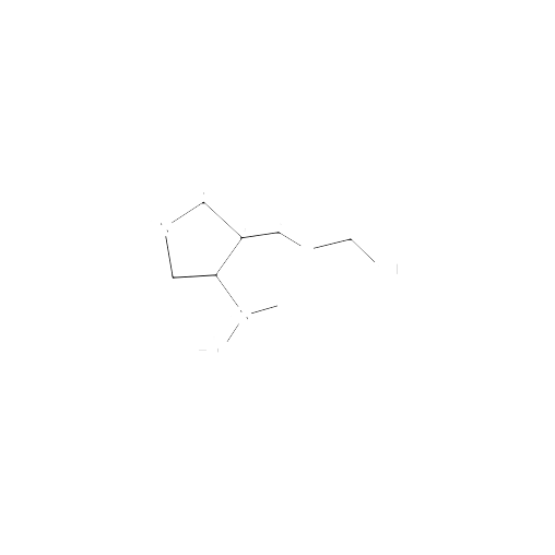 CCSCC1C[N]CC1N(C)C